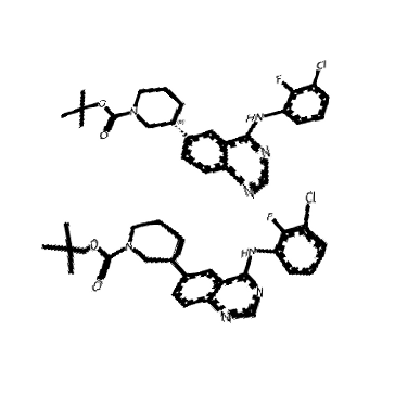 CC(C)(C)OC(=O)N1CCCC(c2ccc3ncnc(Nc4cccc(Cl)c4F)c3c2)C1.CC(C)(C)OC(=O)N1CCC[C@H](c2ccc3ncnc(Nc4cccc(Cl)c4F)c3c2)C1